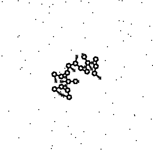 N#Cc1cccc(-c2ccc3c4ccccc4n(-c4cc(-c5ccncc5)cc(-n5c6ccccc6c6ccc(-c7cc(C#N)cc(-c8cccc(-c9ccc%10c(c9)c9cc(-c%11ccccc%11C#N)ccc9n%10-c9cc(-c%10ccncc%10)cc(-n%10c%11ccc(-c%12ccccc%12C#N)cc%11c%11cc(-c%12ccccc%12C#N)ccc%11%10)c9C#N)c8C#N)c7)cc65)c4C#N)c3c2)c1